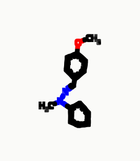 COc1ccc(C=NN(C)c2ccccc2)cc1